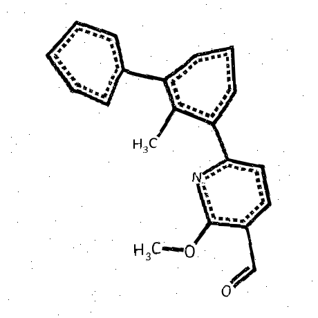 COc1nc(-c2cccc(-c3ccccc3)c2C)ccc1C=O